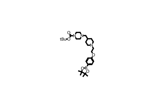 CC(C)(C)OC(=O)N1CCN(CC2CCN(CCOc3ccc(B4OC(C)(C)C(C)(C)O4)cc3)CC2)CC1